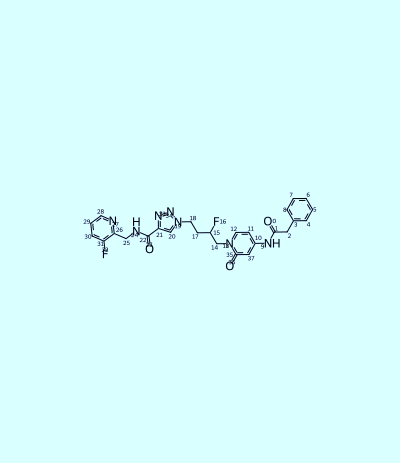 O=C(Cc1ccccc1)Nc1ccn(CC(F)CCn2cc(C(=O)NCc3ncccc3F)nn2)c(=O)c1